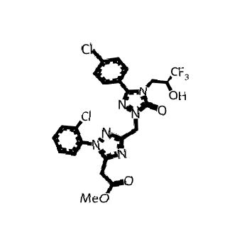 COC(=O)Cc1nc(Cn2nc(-c3ccc(Cl)cc3)n(C[C@H](O)C(F)(F)F)c2=O)nn1-c1ccccc1Cl